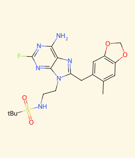 Cc1cc2c(cc1Cc1nc3c(N)nc(F)nc3n1CCNS(=O)(=O)C(C)(C)C)OCO2